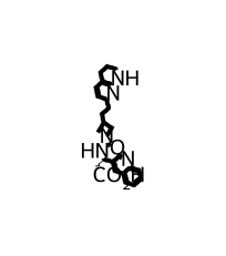 O=C(O)C[C@H](NC(=O)N1CC(CCc2ccc3c(n2)NCCC3)C1)c1cnc2ccccc2c1